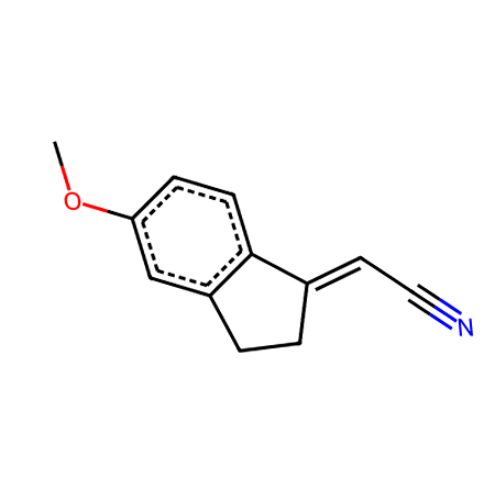 COc1ccc2c(c1)CCC2=CC#N